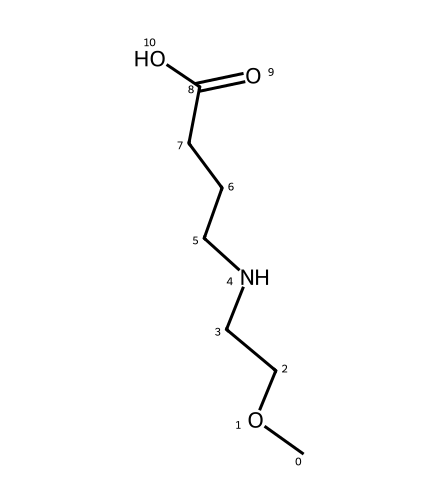 COCCNCCCC(=O)O